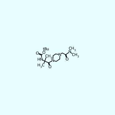 CN(C)C(=O)CN1CCN(C(=O)C(C)(C)NC(=O)OC(C)(C)C)CC1